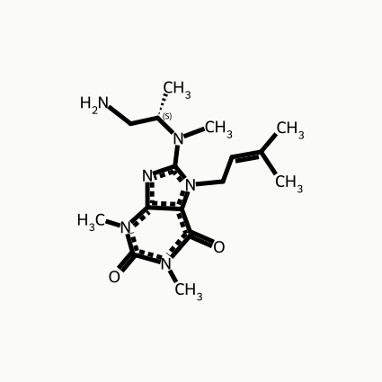 CC(C)=CCn1c(N(C)[C@@H](C)CN)nc2c1c(=O)n(C)c(=O)n2C